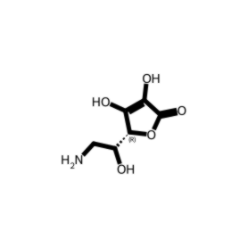 NCC(O)[C@H]1OC(=O)C(O)=C1O